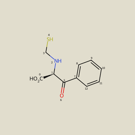 O=C(O)[C@@H](NCS)C(=O)c1ccccc1